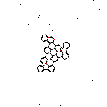 c1ccc(-c2ccccc2-c2c(-c3cccc4ccccc34)ccc(-c3ccccc3)c2-c2nc(-c3cccc4c3sc3ccccc34)cc(-c3cccc4c3sc3ccccc34)n2)cc1